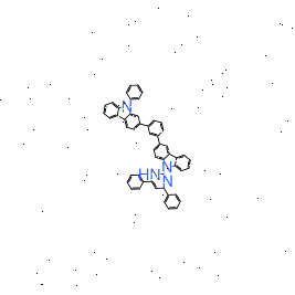 C1=C(c2ccccc2)NC(n2c3ccccc3c3cc(-c4cccc(-c5ccc6c7ccccc7n(-c7ccccc7)c6c5)c4)ccc32)N=C1c1ccccc1